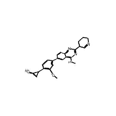 CNc1nc(C2C=NCCC2)nc2ccc(-c3ccc(C4CC4O)c(OC)c3)cc12